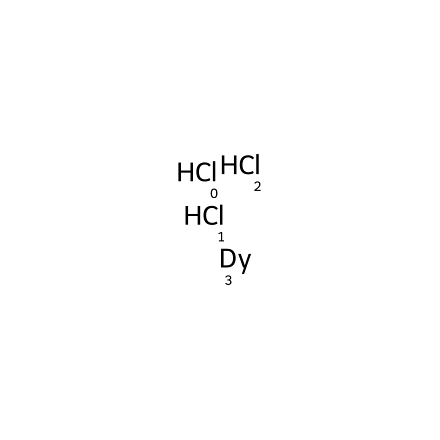 Cl.Cl.Cl.[Dy]